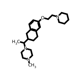 CC(C1CCc2cc(OCCN3CCCCC3)ccc2C1)N1CCN(C)CC1